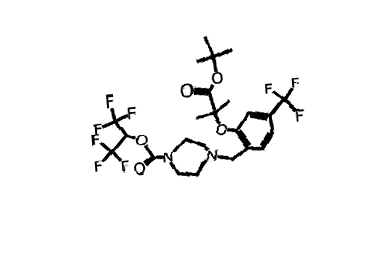 CC(C)(C)OC(=O)C(C)(C)Oc1cc(C(F)(F)F)ccc1CN1CCN(C(=O)OC(C(F)(F)F)C(F)(F)F)CC1